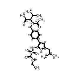 CCNC(=O)S(=O)(=O)Nc1sc(CC(C)C)cc1-c1ccc(CN(C(C)=O)C(C(=O)O)C(C)C)cc1